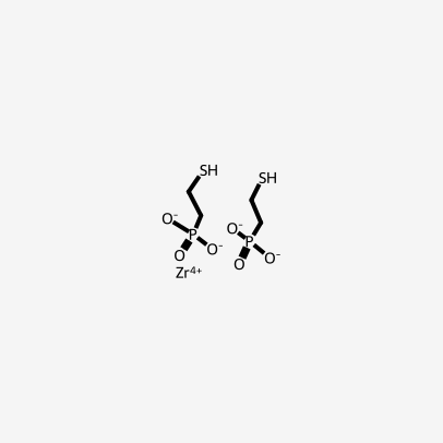 O=P([O-])([O-])CCS.O=P([O-])([O-])CCS.[Zr+4]